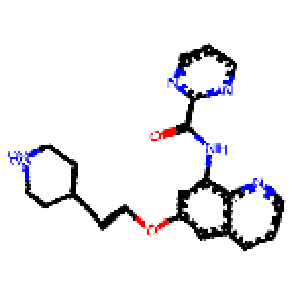 O=C(Nc1cc(OCCC2CCNCC2)cc2cccnc12)c1ncccn1